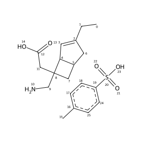 CCC1=CC2C(C1)CC2(CN)CC(=O)O.Cc1ccc(S(=O)(=O)O)cc1